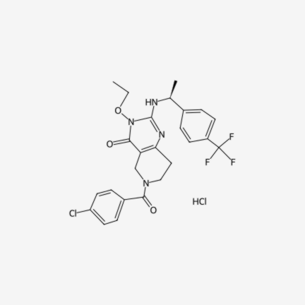 CCOn1c(N[C@@H](C)c2ccc(C(F)(F)F)cc2)nc2c(c1=O)CN(C(=O)c1ccc(Cl)cc1)CC2.Cl